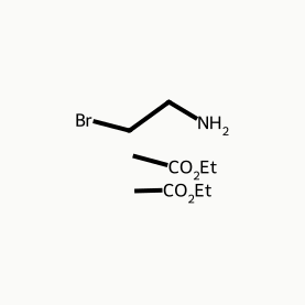 CCOC(C)=O.CCOC(C)=O.NCCBr